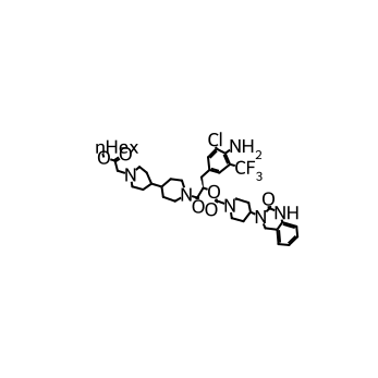 CCCCCCOC(=O)CN1CCC(C2CCN(C(=O)[C@@H](Cc3cc(Cl)c(N)c(C(F)(F)F)c3)OC(=O)N3CCC(N4Cc5ccccc5NC4=O)CC3)CC2)CC1